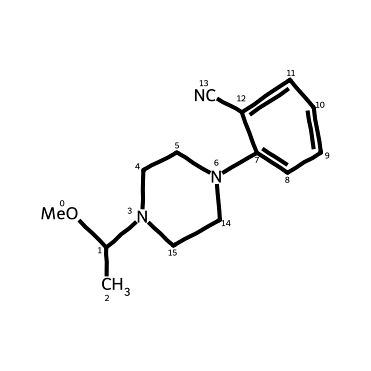 COC(C)N1CCN(c2ccccc2C#N)CC1